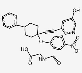 O=CNCC(=O)O.O=[N+]([O-])c1ccc(OC2(C#Cc3cncc(O)c3)CCC(c3ccccc3)CC2)cc1